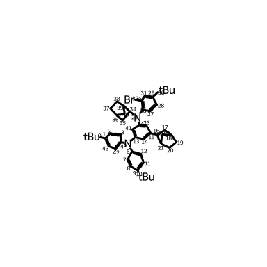 CC(C)(C)c1ccc(N(c2ccc(C(C)(C)C)cc2)c2cc(C3CC4CCC3C4)cc(N(c3ccc(C(C)(C)C)cc3Br)C3CC4CCC3C4)c2)cc1